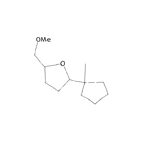 COCC1CCC(C2(C)CCCC2)O1